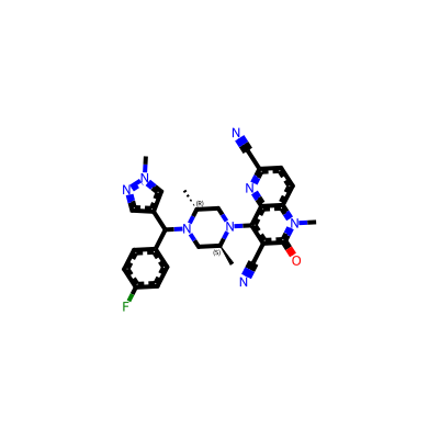 C[C@@H]1CN(c2c(C#N)c(=O)n(C)c3ccc(C#N)nc23)[C@@H](C)CN1C(c1ccc(F)cc1)c1cnn(C)c1